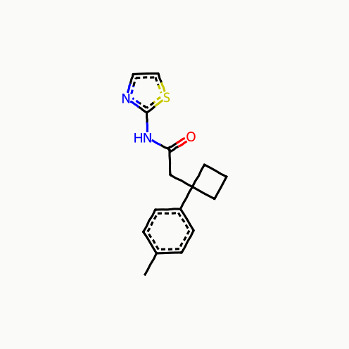 Cc1ccc(C2(CC(=O)Nc3nccs3)CCC2)cc1